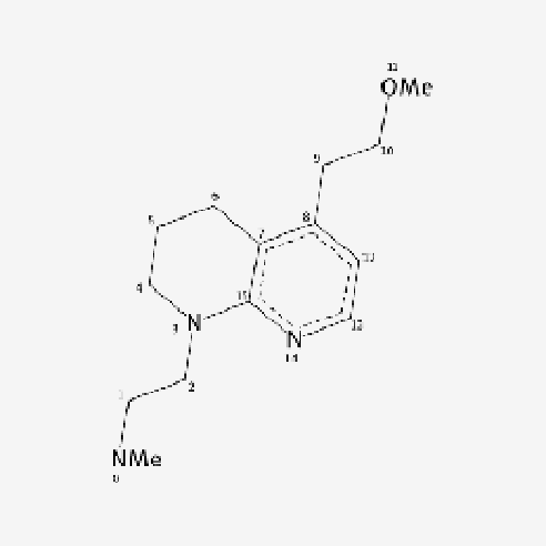 CNCCN1CCCc2c(CCOC)ccnc21